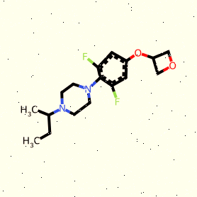 CCC(C)N1CCN(c2c(F)cc(OC3COC3)cc2F)CC1